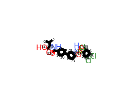 CC(C)[C@H](NC(=O)c1ccc(-c2cccc(NS(=O)(=O)c3cc(Cl)c(Cl)cc3Cl)c2)cc1)C(=O)O